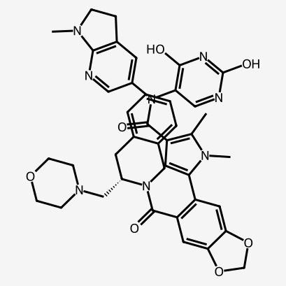 Cc1c(C(=O)N(c2cnc3c(c2)CCN3C)c2cnc(O)nc2O)cc(-c2cc3c(cc2C(=O)N2Cc4ccccc4C[C@H]2CN2CCOCC2)OCO3)n1C